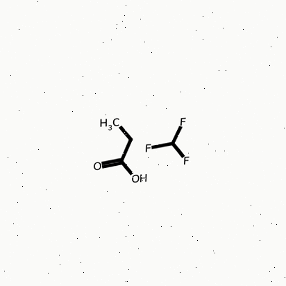 CCC(=O)O.FC(F)F